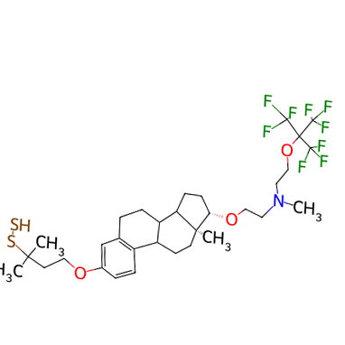 CN(CCO[C@H]1CCC2C3CCc4cc(OCCC(C)(C)SS)ccc4C3CC[C@@]21C)CCOC(C(F)(F)F)(C(F)(F)F)C(F)(F)F